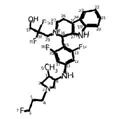 CC1CN(CCCF)CC1Nc1cc(F)c(C2c3[nH]c4ccccc4c3CCN2CC(F)(F)CO)c(F)c1